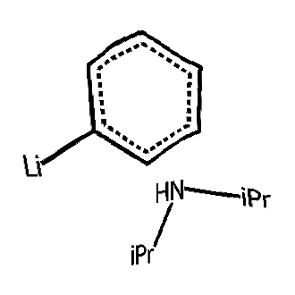 CC(C)NC(C)C.[Li][c]1ccccc1